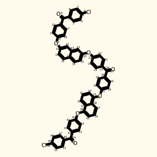 O=C(c1ccc(Cl)cc1)c1ccc(Oc2ccc3ccc(Oc4ccc(C(=O)c5ccc(Oc6cccc7c(Oc8ccc(C(=O)c9ccc(Cl)cc9)cc8)cccc67)cc5)cc4)cc3c2)cc1